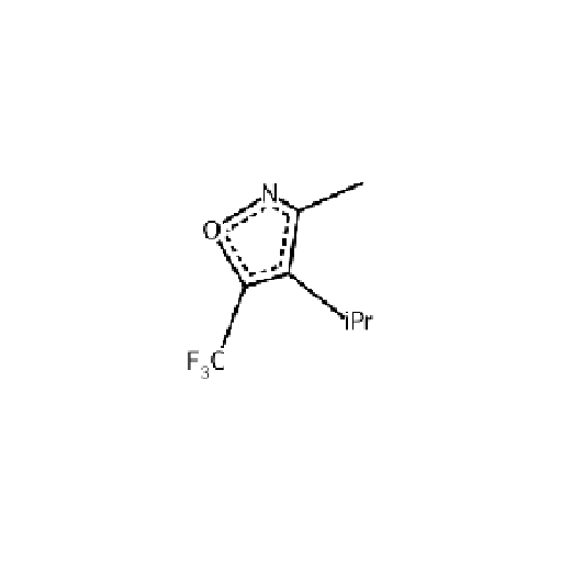 Cc1noc(C(F)(F)F)c1C(C)C